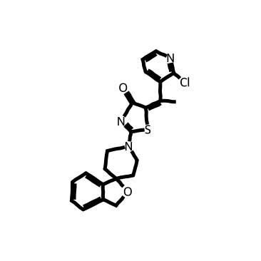 C/C(=C1\SC(N2CCC3(CC2)OCc2ccccc23)=NC1=O)c1cccnc1Cl